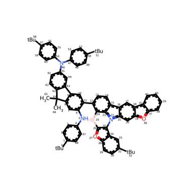 CC(C)(C)c1ccc(Nc2cc3c(cc2-c2ccc4c5cc6c(cc5n5c4c2Bc2oc4ccc(C(C)(C)C)cc4c2-5)oc2ccccc26)-c2cc(N(c4ccc(C(C)(C)C)cc4)c4ccc(C(C)(C)C)cc4)ccc2C3(C)C)cc1